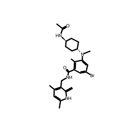 C=C1NC(C)=CC(C)=C1CNC(=O)c1cc(Br)cc(N(C)[C@H]2CC[C@H](NC(C)=O)CC2)c1C